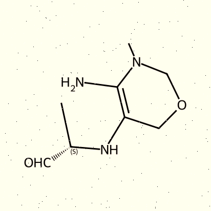 C[C@@H](C=O)NC1=C(N)N(C)COC1